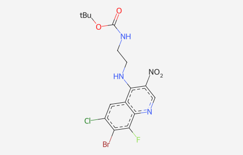 CC(C)(C)OC(=O)NCCNc1c([N+](=O)[O-])cnc2c(F)c(Br)c(Cl)cc12